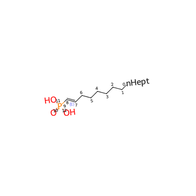 CCCCCCCCCCCCC/C=C/P(=O)(O)O